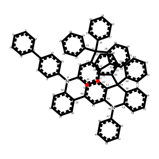 c1ccc(-c2ccc(N(c3ccc4c(c3)C(c3ccccc3)(c3ccccc3)c3ccccc3-4)c3ccccc3-c3ccc4c(c3)N(c3ccccc3)c3ccccc3C4(c3ccccc3)c3ccccc3)cc2)cc1